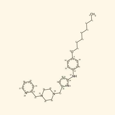 CCCCCCCCOc1ccc(Nc2nc(CN3CCN(Cc4ccccn4)CC3)cs2)cc1